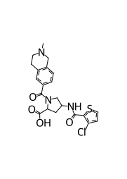 CN1CCc2cc(C(=O)N3CC(NC(=O)c4sccc4Cl)CC3C(=O)O)ccc2C1